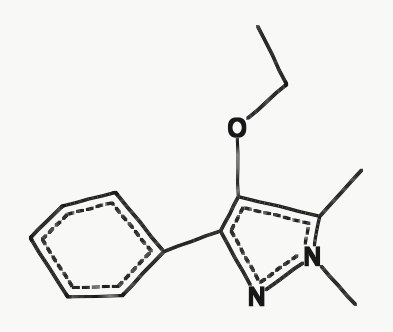 CCOc1c(-c2ccccc2)nn(C)c1C